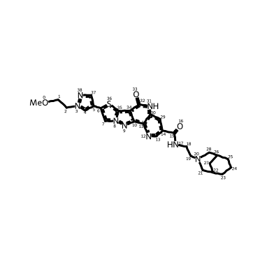 COCCn1cc(-c2cn3nc4c5ncc(C(=O)NCCN6CC7CCCC(C7)C6)cc5[nH]c(=O)c4c3s2)cn1